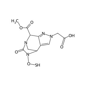 COC(=O)C1c2nn(CC(=O)O)cc2C2CN1C(=O)N2OS